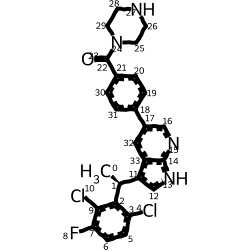 C[C@H](c1c(Cl)ccc(F)c1Cl)c1c[nH]c2ncc(-c3ccc(C(=O)N4CCNCC4)cc3)cc12